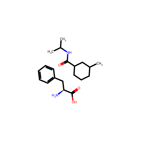 CC1CCCC(C(=O)NC(C)C)C1.N[C@@H](Cc1ccccc1)C(=O)O